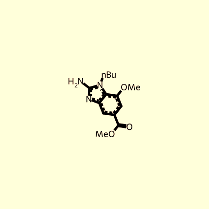 [CH2]CCCn1c(N)nc2cc(C(=O)OC)cc(OC)c21